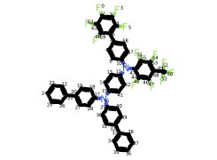 Fc1c(F)c(F)c(-c2ccc(N(c3ccc(N(c4ccc(-c5ccccc5)cc4)c4ccc(-c5ccccc5)cc4)cc3)c3c(F)c(F)c(C(F)(F)F)c(F)c3F)cc2)c(F)c1F